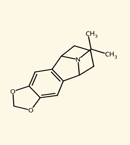 CC(C)N1C2CCCC1c1cc3c(cc12)OCO3